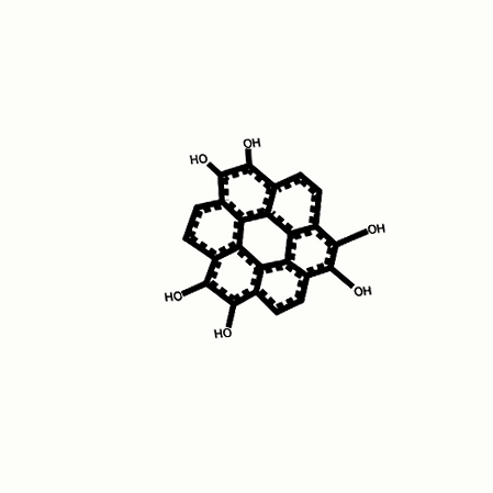 Oc1c(O)c2ccc3c(O)c(O)c4ccc5c(O)c(O)c6ccc1c1c2c3c4c5c61